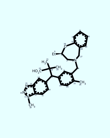 CC[C@@H]1CN(Cc2cc(C(c3ccc4c(c3)nnn4C)C(C)(C)C(=O)O)ccc2C)Cc2ccccc2O1